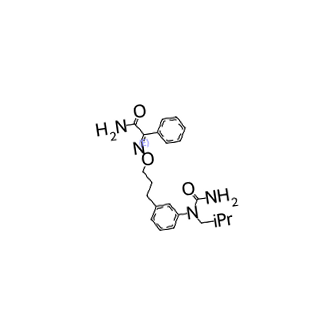 CC(C)CN(C(N)=O)c1cccc(CCCO/N=C(/C(N)=O)c2ccccc2)c1